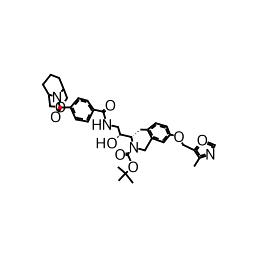 Cc1ncoc1COc1ccc2c(c1)CN(C(=O)OC(C)(C)C)[C@H]([C@H](O)CNC(=O)c1ccc(C(=O)N3C4CCCC3COC4)cc1)C2